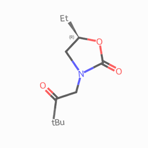 CC[C@@H]1CN(CC(=O)C(C)(C)C)C(=O)O1